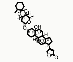 CC1CCCCC12O[C@H]1[C@H](C[C@H](O[C@H]3CC[C@]4(C=O)[C@H]5CC[C@]6(C)[C@@H](C7=CC(=O)OC7)CC[C@]6(O)[C@@H]5CC[C@]4(O)C3)O[C@@H]1C)O2